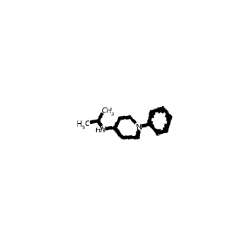 CC(C)NC1CCN(c2ccccc2)CC1